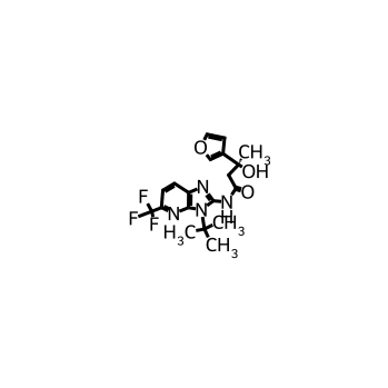 CC(C)(C)n1c(NC(=O)C[C@](C)(O)c2ccoc2)nc2ccc(C(F)(F)F)nc21